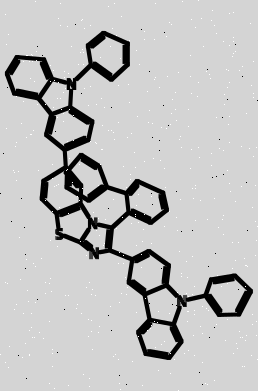 c1ccc(-c2ccccc2-c2c(-c3ccc4c(c3)c3ccccc3n4-c3ccccc3)nc3sc4ccc(-c5ccc6c(c5)c5ccccc5n6-c5ccccc5)cc4n23)cc1